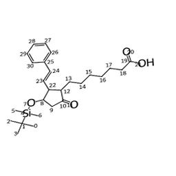 CC(C)(C)[Si](C)(C)OC1CC(=O)C(CCCCCCC(=O)O)C1/C=C/c1ccccc1